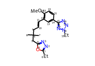 CCc1nnc(CC(C)(C)C/C=C/c2cc(-c3nnn(CC)n3)ccc2OC)o1